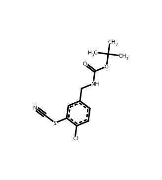 CC(C)(C)OC(=O)NCc1ccc(Cl)c(SC#N)c1